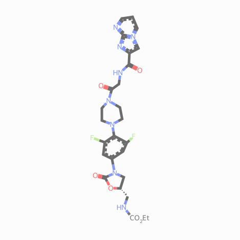 CCOC(=O)NC[C@H]1CN(c2cc(F)c(N3CCN(C(=O)CNC(=O)c4cn5cccnc5n4)CC3)c(F)c2)C(=O)O1